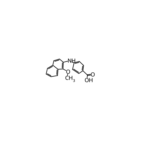 COc1c(Nc2ccc(C(=O)O)cc2)ccc2ccccc12